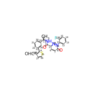 C[C@@H](NC(=O)c1ccc(=O)n(-c2ccccc2F)n1)c1cccc(-c2sccc2C=O)c1